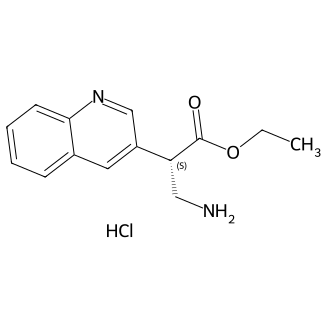 CCOC(=O)[C@H](CN)c1cnc2ccccc2c1.Cl